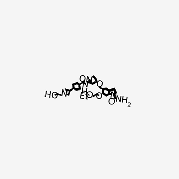 CCOCCOc1cc2c(ccn2C(N)=O)cc1COc1ccnc(NC(=O)c2ccc(C3CN(CCO)C3)cc2)c1